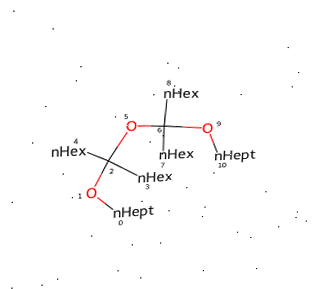 CCCCCCCOC(CCCCCC)(CCCCCC)OC(CCCCCC)(CCCCCC)OCCCCCCC